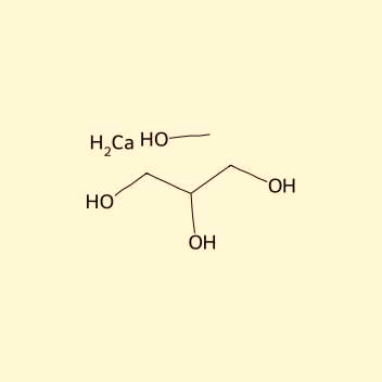 CO.OCC(O)CO.[CaH2]